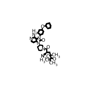 CN(C)C(=O)C(C)(C)C=C(C#N)C(=O)N1CCCC(n2c(=O)n(-c3ccc(Oc4ccccc4)cc3)c3c(N)nccc32)C1